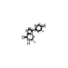 C[C@H]1Cn2c(nnc2-c2ccc(F)cn2)C(=O)N1